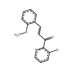 COc1ccccc1C=CC(=O)c1ncccc1Cl